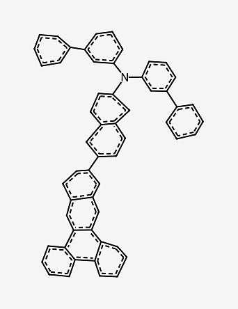 c1ccc(-c2cccc(N(c3cccc(-c4ccccc4)c3)c3ccc4cc(-c5ccc6cc7c8ccccc8c8ccccc8c7cc6c5)ccc4c3)c2)cc1